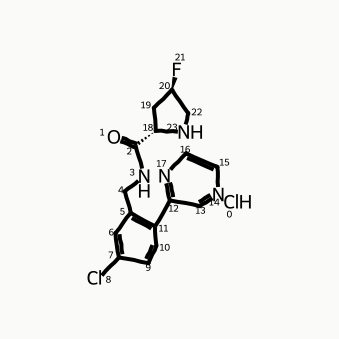 Cl.O=C(NCc1cc(Cl)ccc1-c1cnccn1)[C@@H]1C[C@@H](F)CN1